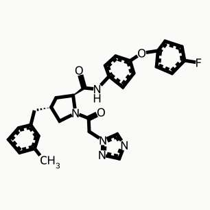 Cc1cccc(C[C@@H]2C[C@@H](C(=O)Nc3ccc(Oc4ccc(F)cc4)cc3)N(C(=O)Cn3cncn3)C2)c1